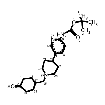 CC(C)(C)OC(=O)Nc1ccc(C2CCN(CC3CCC(=O)CC3)CC2)cn1